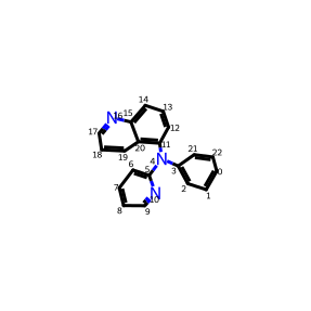 c1ccc(N(c2ccccn2)c2cccc3ncccc23)cc1